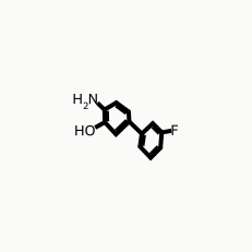 Nc1ccc(-c2cccc(F)c2)cc1O